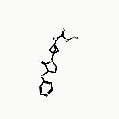 CC(C)(C)OC(=O)NC12CC(N3CCC(Oc4ccncc4)C3=O)(C1)C2